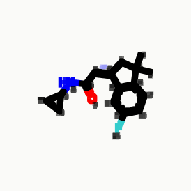 CC1(C)C/C(=C/C(=O)NC2CC2)c2cc(F)ccc21